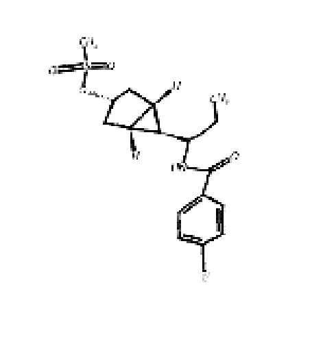 CCC(NC(=O)c1ccc(Cl)cc1)[C@H]1[C@@H]2C[C@H](OS(C)(=O)=O)C[C@@H]21